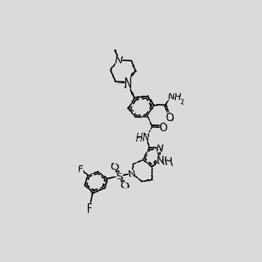 CN1CCN(c2ccc(C(=O)Nc3n[nH]c4c3CN(S(=O)(=O)c3cc(F)cc(F)c3)CC4)c(C(N)=O)c2)CC1